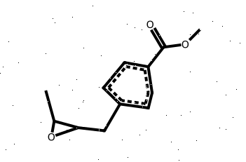 COC(=O)c1ccc(CC2OC2C)cc1